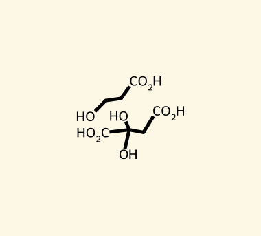 O=C(O)CC(O)(O)C(=O)O.O=C(O)CCO